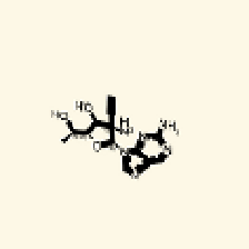 C#C[C@@]1(N)C(O)[C@@H]([C@@H](C)O)O[C@H]1n1cnc2cnc(N)nc21